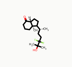 C[C@H](CCC(F)(F)C(C)(C)O)C1CC[C@H]2C(=O)CCC[C@]12C